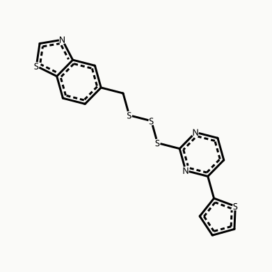 c1csc(-c2ccnc(SSSCc3ccc4scnc4c3)n2)c1